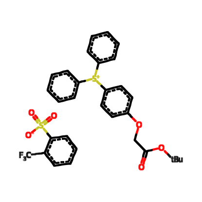 CC(C)(C)OC(=O)COc1ccc([S+](c2ccccc2)c2ccccc2)cc1.O=S(=O)([O-])c1ccccc1C(F)(F)F